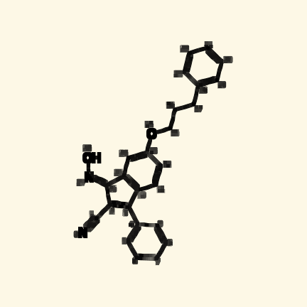 N#CC1=C(c2ccccc2)c2ccc(OCCCc3ccccc3)cc2/C1=N\O